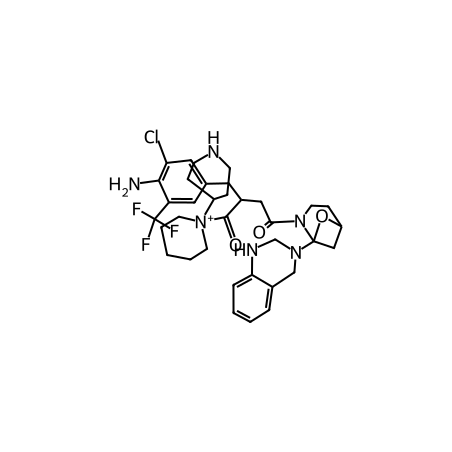 Nc1c(Cl)cc(CC(CC(=O)N2CCC3CC2(N2CNc4ccccc4C2)O3)C(=O)[N+]2(C3CCNCC3)CCCCC2)cc1C(F)(F)F